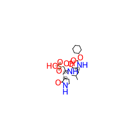 CC(C)C[C@H](NC(=O)OC1CCCCC1)C(=O)N[C@@H](C[C@@H]1CCNC1=O)C(O)S(=O)(=O)O